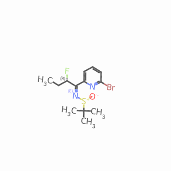 CC[C@@H](F)/C(=N/[S+]([O-])C(C)(C)C)c1cccc(Br)n1